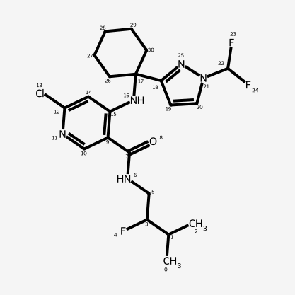 CC(C)C(F)CNC(=O)c1cnc(Cl)cc1NC1(c2ccn(C(F)F)n2)CCCCC1